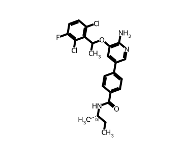 CC[C@H](C)NC(=O)c1ccc(-c2cnc(N)c(OC(C)c3c(Cl)ccc(F)c3Cl)c2)cc1